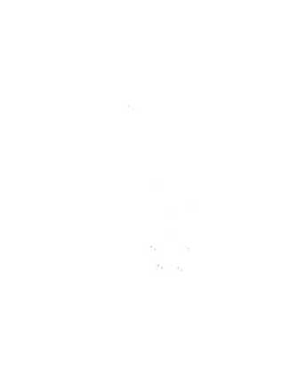 O=C(Cc1cocc1Cc1ccccn1)C(=O)c1nn[nH]n1